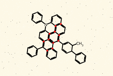 CC1C=C(N(c2ccc(-c3ccccc3)cc2)c2ccccc2-c2ccccc2N(c2ccccc2)c2ccccc2-c2ccc(-c3ccccc3)cc2)C=CC1c1ccccc1